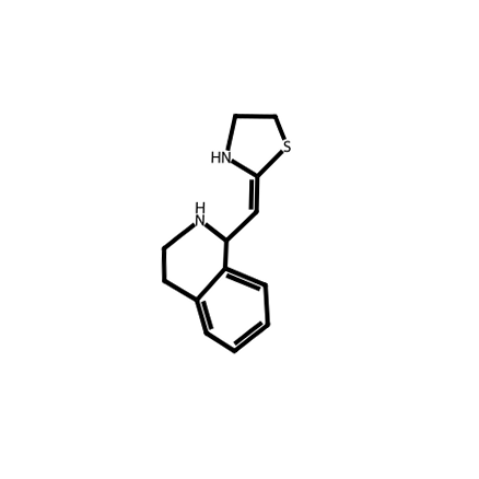 C(=C1NCCS1)C1NCCc2ccccc21